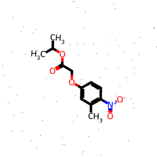 Cc1cc(OCC(=O)OC(C)C)ccc1[N+](=O)[O-]